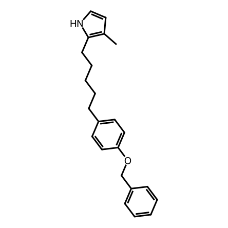 Cc1cc[nH]c1CCCCCc1ccc(OCc2ccccc2)cc1